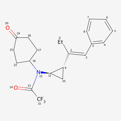 CC/C(=C\c1ccccc1)[C@@H]1C[C@H]1N(C(=O)C(F)(F)F)C1CCC(=O)CC1